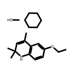 C1CCCCC1.CCOc1ccc2c(c1)C(C)=CC(C)(C)N2.CO